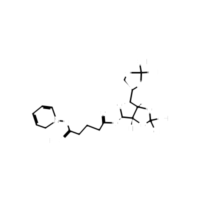 C=C(CCCC(=O)O[C@H]1O[C@H]([C@H]2COC(C)(C)O2)[C@@H]2OC(C)(C)O[C@H]12)ON1C=CC=CC1